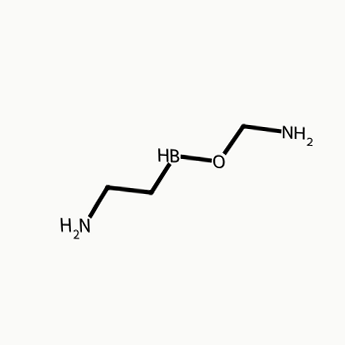 NCCBOCN